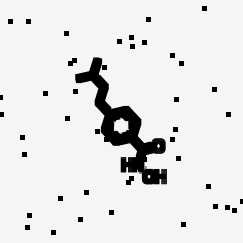 CC(C)CCc1ccc(C(=O)NO)cc1